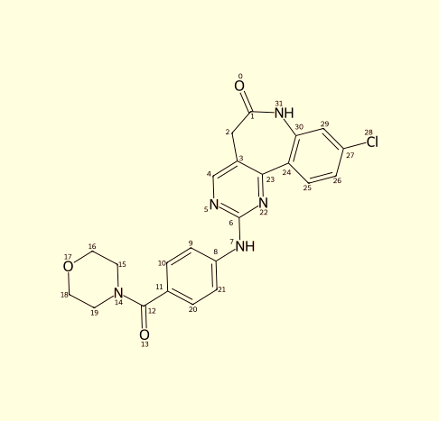 O=C1Cc2cnc(Nc3ccc(C(=O)N4CCOCC4)cc3)nc2-c2ccc(Cl)cc2N1